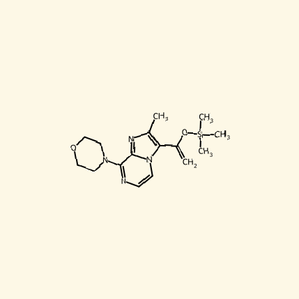 C=C(O[Si](C)(C)C)c1c(C)nc2c(N3CCOCC3)nccn12